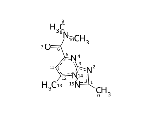 Cc1nc2nc(C(=O)N(C)C)cc(C)n2n1